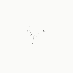 CN(C)CCCN(CCc1ccccc1)C(=O)N1CCCCC1CCCCC[O]